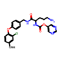 COc1ccc(Oc2ccc(CNC(=O)C(CCCN)NC(=O)Oc3cncnc3)cc2)c(Cl)c1